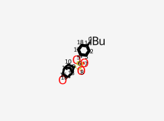 CCC(C)c1ccc(OS(=O)(=O)C2CC3CC2C2OC32)cc1